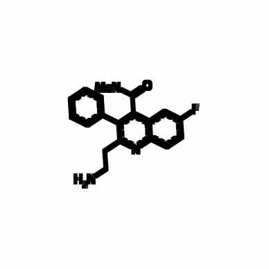 CNC(=O)c1c(-c2ccccc2)c(CCN)nc2ccc(F)cc12